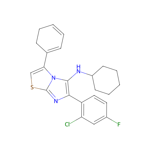 Fc1ccc(-c2nc3scc(C4=CC=CCC4)n3c2NC2CCCCC2)c(Cl)c1